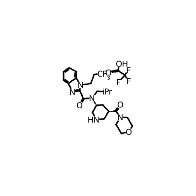 CC(C)CN(C(=O)c1nc2ccccc2n1CCC(F)(F)F)[C@@H]1CNC[C@H](C(=O)N2CCOCC2)C1.O=C(O)C(F)(F)F